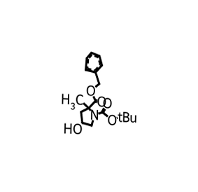 CC(C)(C)OC(=O)N1CC(O)CC1(C)C(=O)OCc1ccccc1